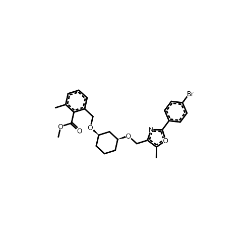 COC(=O)c1c(C)cccc1CO[C@@H]1CCC[C@H](OCc2nc(-c3ccc(Br)cc3)oc2C)C1